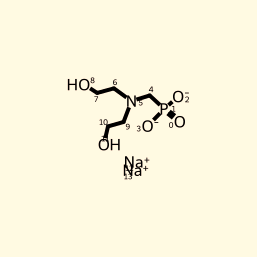 O=P([O-])([O-])CN(CCO)CCO.[Na+].[Na+]